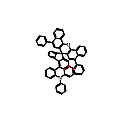 c1ccc(-c2cc3c(c4ccccc24)Oc2c(cc(-c4ccccc4)c4ccccc24)C32c3ccccc3-c3c(-c4ccccc4N(c4ccccc4)c4ccccc4)cccc32)cc1